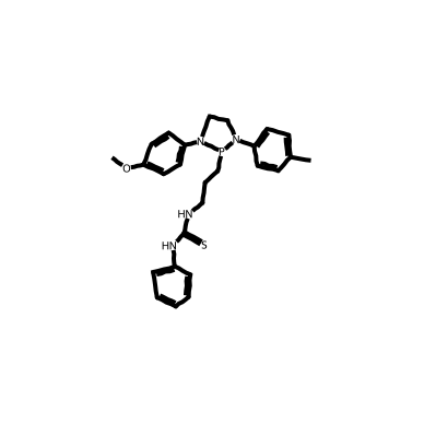 COc1ccc(N2CCN(c3ccc(C)cc3)P2CCCNC(=S)Nc2ccccc2)cc1